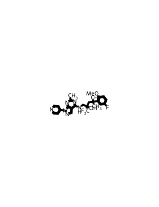 COc1ccc(F)cc1C(C)(C)CC(O)(CNc1nc(C)nc2c1cnn2-c1ccncc1)C(F)(F)F